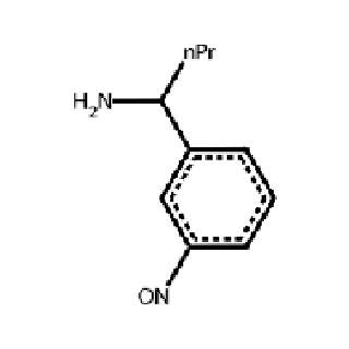 CCCC(N)c1cccc(N=O)c1